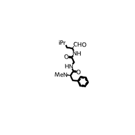 CN[C@H](Cc1ccccc1)C(=O)NCC(=O)N[C@@H](C=O)CC(C)C